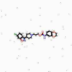 O=C(Nc1ccc2c(c1)OCCO2)OCCCN1CCC(c2noc3cc(F)ccc23)CC1